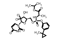 CC(C)OC(=O)[C@H](C)NP(=O)(OC[C@H]1O[C@@H](n2ccc(=O)[nH]c2=O)C(Cl)(Cl)[C@@H]1O)Oc1cccc(C2(C)CC2)c1